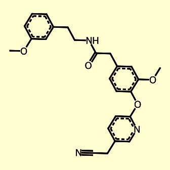 COc1cccc(CCNC(=O)Cc2ccc(Oc3ccc(CC#N)cn3)c(OC)c2)c1